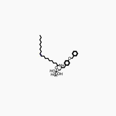 CCCCCCCC/C=C\CCCCCCCC(=O)N[C@H](CO[PH](O)(O)O)Cc1ccc(OCc2ccccc2)cc1